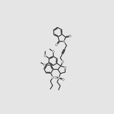 CCCOc1ccccc1C1C(S(=O)(=O)CCC)COC1(OCC#CCN1C(=O)c2ccccc2C1=O)c1cc(OC)c(OC)c(OC)c1